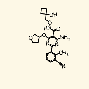 Cc1c(C#N)cccc1-c1nc(N)c(C(=O)NOCC2(O)CCC2)c(O[C@H]2CCOC2)n1